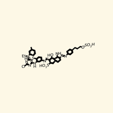 CCN(c1cccc(C)c1)c1nc(Cl)nc(Nc2cc(/N=N/c3c(S(=O)(=O)O)cc4ccc(/N=N/c5ccc(CCCOS(=O)(=O)O)cc5)c(N)c4c3O)ccc2S(=O)(=O)O)n1